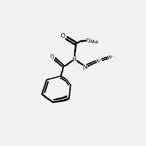 COC(=O)N(N=[N+]=[N-])C(=O)c1ccccc1